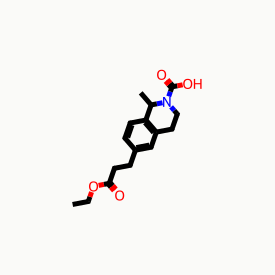 CCOC(=O)CCc1ccc2c(c1)CCN(C(=O)O)C2C